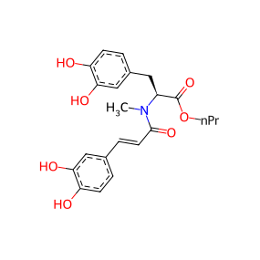 CCCOC(=O)[C@H](Cc1ccc(O)c(O)c1)N(C)C(=O)/C=C/c1ccc(O)c(O)c1